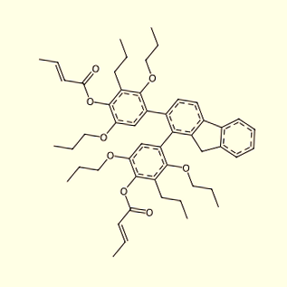 CC=CC(=O)Oc1c(OCCC)cc(-c2ccc3c(c2-c2cc(OCCC)c(OC(=O)C=CC)c(CCC)c2OCCC)Cc2ccccc2-3)c(OCCC)c1CCC